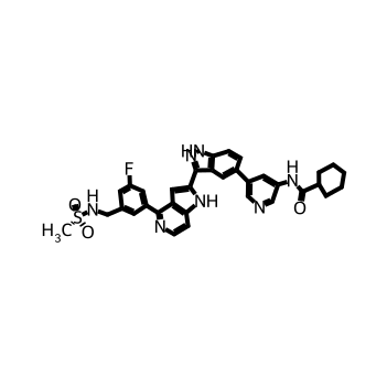 CS(=O)(=O)NCc1cc(F)cc(-c2nccc3[nH]c(-c4n[nH]c5ccc(-c6cncc(NC(=O)C7CCCCC7)c6)cc45)cc23)c1